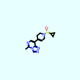 Cc1ncc(C2=CCN([S+]([O-])C3CC3)CC2)c2nncn12